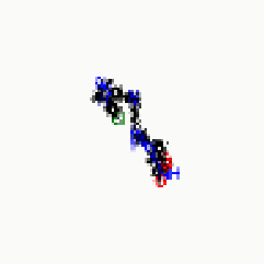 Cc1nnc2n1-c1ccc(-c3cnn(CCCCCCn4cc(CNc5cccc6c(=O)n(C7CCC(=O)NC7=O)c(C)nc56)nn4)c3)cc1C(c1ccc(Cl)cc1)=NC21CC1